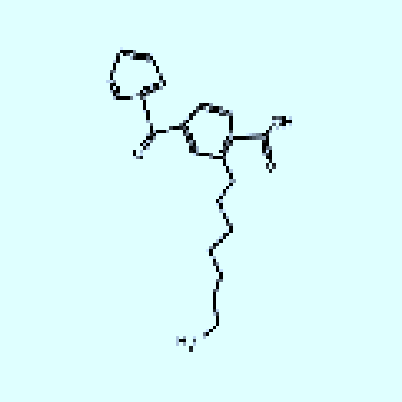 CCCCCCCCc1cc(C(=O)c2ccccc2)ccc1C(=O)O